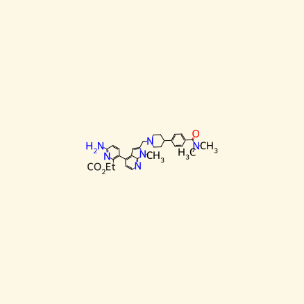 CCOC(=O)c1nc(N)ccc1-c1ccnc2c1cc(CN1CCC(c3ccc(C(=O)N(C)C)cc3)CC1)n2C